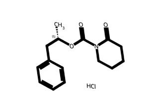 C[C@@H](Cc1ccccc1)OC(=O)N1CCCCC1=O.Cl